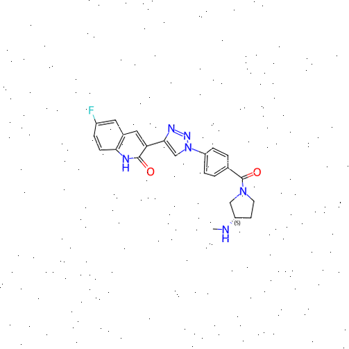 CN[C@H]1CCN(C(=O)c2ccc(-n3cc(-c4cc5cc(F)ccc5[nH]c4=O)nn3)cc2)C1